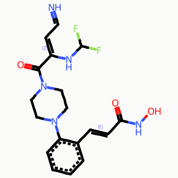 N=C/C=C(\NC(F)F)C(=O)N1CCN(c2ccccc2/C=C/C(=O)NO)CC1